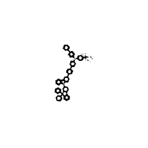 CC(C)(C)c1ccc(N(c2ccc(-c3ccccc3)cc2)c2ccc(-c3ccc(-c4ccc5c(c4)c4ccccc4n5-c4ccc5c(c4)C(c4ccccc4)(c4ccccc4)c4ccccc4-5)cc3)cc2)cc1